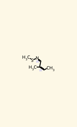 C/C=C(C)\C=N/SC